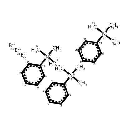 C[N+](C)(C)c1ccccc1.C[N+](C)(C)c1ccccc1.C[N+](C)(C)c1ccccc1.[Br-].[Br-].[Br-]